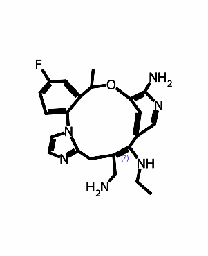 CCN/C1=C(\CN)Cc2nccn2-c2ccc(F)cc2C(C)Oc2cc1cnc2N